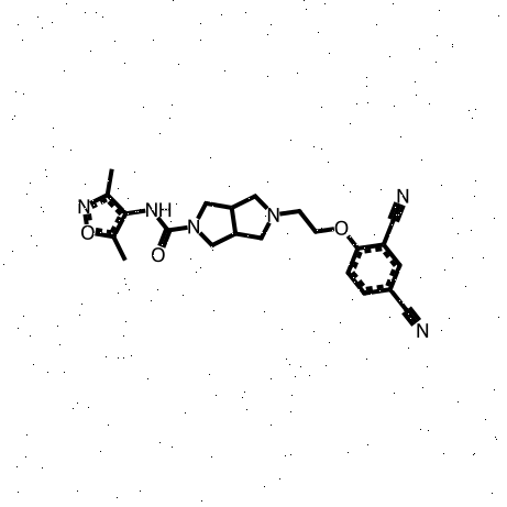 Cc1noc(C)c1NC(=O)N1CC2CN(CCOc3ccc(C#N)cc3C#N)CC2C1